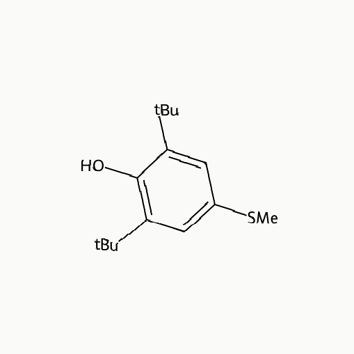 CSc1cc(C(C)(C)C)c(O)c(C(C)(C)C)c1